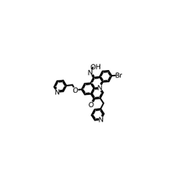 O=c1c(Cc2cccnc2)cn2c3cc(Br)ccc3c(=NO)c3cc(OCc4cccnc4)cc1c32